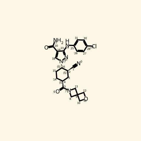 N#C[C@H]1C[C@@H](C(=O)N2CC3(COC3)C2)CC[C@@H]1n1cc(C(N)=O)c(Nc2ccc(Cl)cc2)n1